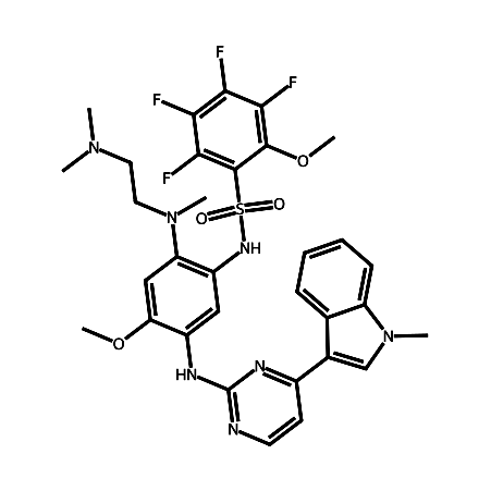 COc1cc(N(C)CCN(C)C)c(NS(=O)(=O)c2c(F)c(F)c(F)c(F)c2OC)cc1Nc1nccc(-c2cn(C)c3ccccc23)n1